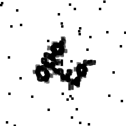 COc1ccc([C@@H]2CC2NC(=O)COC[C@H](NC(=O)c2ccc(F)cc2)C(=O)N2CCOCC2)cc1